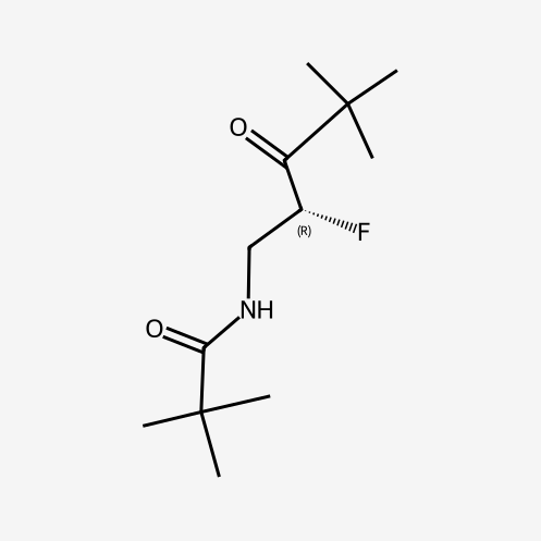 CC(C)(C)C(=O)NC[C@@H](F)C(=O)C(C)(C)C